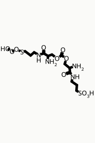 NC(COC(=O)OCC(N)C(=O)NCCCS(=O)(=O)O)C(=O)NCCCSOOO